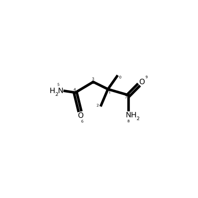 CC(C)([CH]C(N)=O)C(N)=O